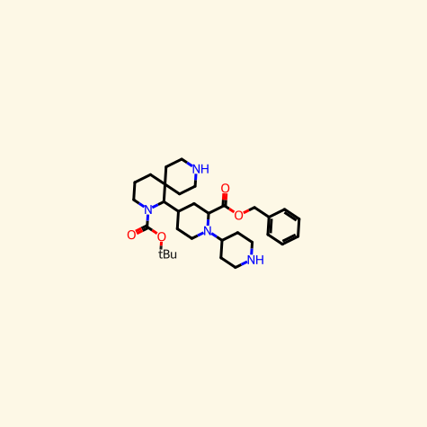 CC(C)(C)OC(=O)N1CCCC2(CCNCC2)C1C1CCN(C2CCNCC2)C(C(=O)OCc2ccccc2)C1